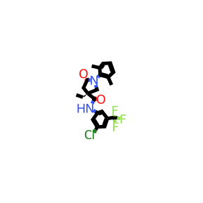 CC[C@]1(C(=O)Nc2cc(Cl)cc(C(F)(F)F)c2)CC(=O)N(c2c(C)cccc2C)C1